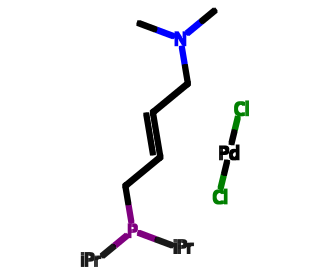 CC(C)P(CC=CCN(C)C)C(C)C.[Cl][Pd][Cl]